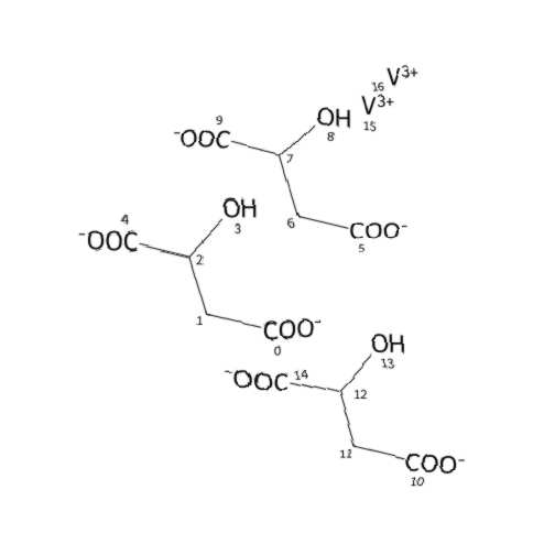 O=C([O-])CC(O)C(=O)[O-].O=C([O-])CC(O)C(=O)[O-].O=C([O-])CC(O)C(=O)[O-].[V+3].[V+3]